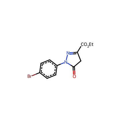 CCOC(=O)C1=NN(c2ccc(Br)cc2)C(=O)C1